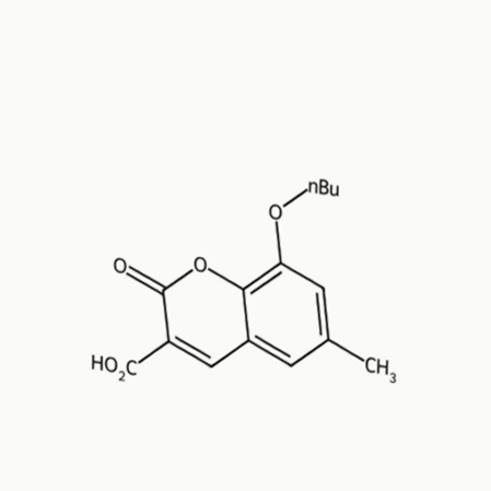 CCCCOc1cc(C)cc2cc(C(=O)O)c(=O)oc12